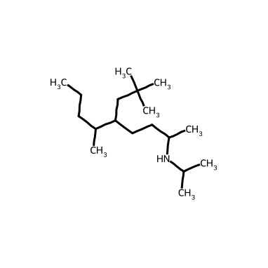 CCCC(C)C(CCC(C)NC(C)C)CC(C)(C)C